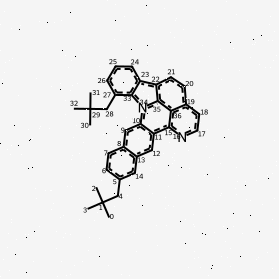 CC(C)(C)Cc1ccc2cc3c(cc2c1)c1nccc2ccc4c5cccc(CC(C)(C)C)c5n3c4c21